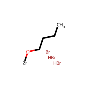 Br.Br.Br.CCCC[O][Zr]